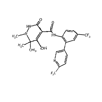 CN1NC(=O)C(C(=O)Nc2ccc(C(F)(F)F)cc2-c2ccc(C(F)(F)F)nc2)=C(O)C1(C)C